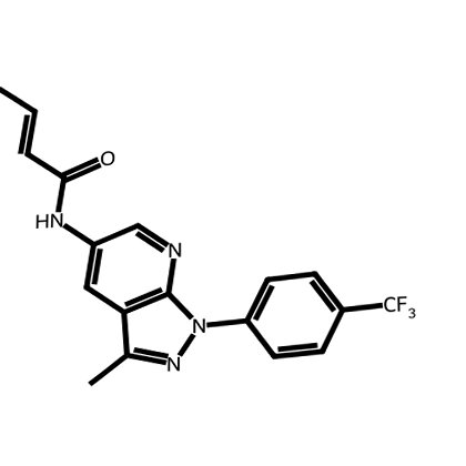 CC=CC(=O)Nc1cnc2c(c1)c(C)nn2-c1ccc(C(F)(F)F)cc1